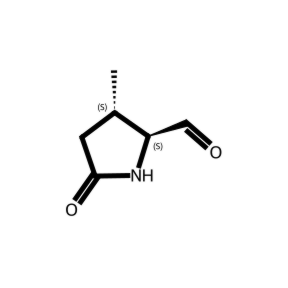 C[C@H]1CC(=O)N[C@@H]1C=O